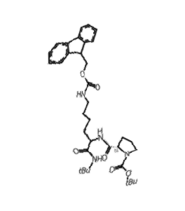 CC(C)(C)NC(=O)C(CCCCNC(=O)OCC1c2ccccc2-c2ccccc21)NC(=O)[C@@H]1CCCN1C(=O)OC(C)(C)C